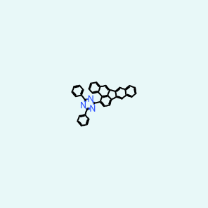 c1ccc(-c2nc(-c3ccccc3)nc(-c3ccc4c5c(cc6ccccc6c35)-c3cc5ccccc5cc3-4)n2)cc1